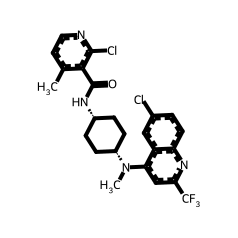 Cc1ccnc(Cl)c1C(=O)N[C@H]1CC[C@@H](N(C)c2cc(C(F)(F)F)nc3ccc(Cl)cc23)CC1